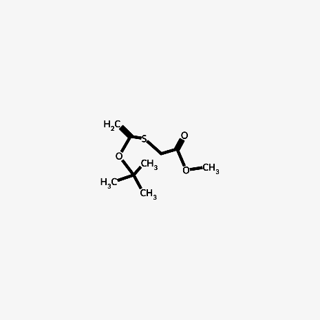 C=C(OC(C)(C)C)SCC(=O)OC